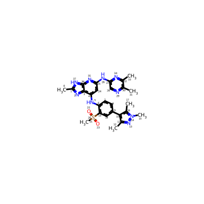 Cc1nc2c(Nc3ccc(-c4c(C)nn(C)c4C)cc3S(C)(=O)=O)cc(Nc3cnc(C)c(C)n3)nc2[nH]1